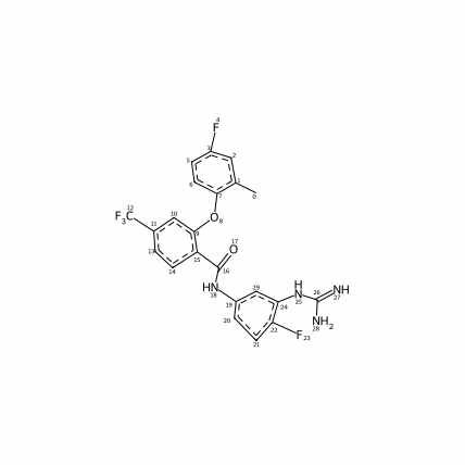 Cc1cc(F)ccc1Oc1cc(C(F)(F)F)ccc1C(=O)Nc1ccc(F)c(NC(=N)N)c1